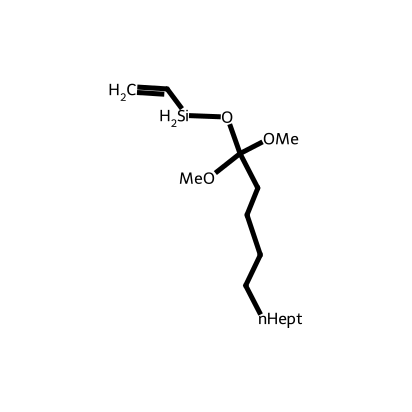 C=C[SiH2]OC(CCCCCCCCCCC)(OC)OC